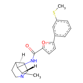 CSc1cccc(-c2ccc(C(=O)N[C@@H]3C4CCN(CC4)[C@H]3C)o2)c1